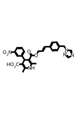 CC1=C(C(=O)O)C(c2cccc([N+](=O)[O-])c2)C(C(=O)OC/C=C/c2ccc(Cn3cncn3)cc2)=C(C)N1